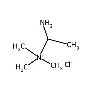 CC(N)[N+](C)(C)C.[Cl-]